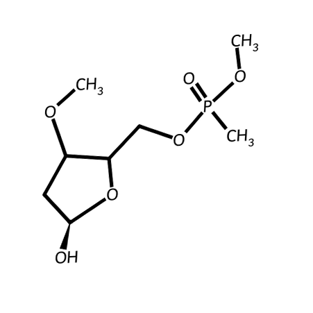 COC1C[C@H](O)OC1COP(C)(=O)OC